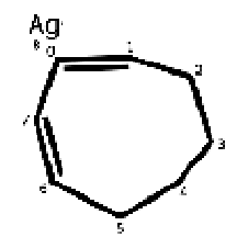 C1=CCCCCC=C1.[Ag]